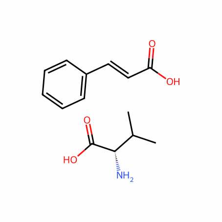 CC(C)[C@H](N)C(=O)O.O=C(O)/C=C/c1ccccc1